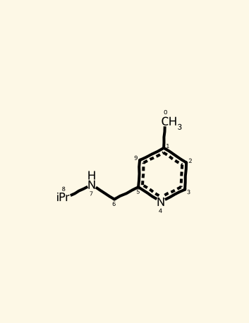 Cc1ccnc(CNC(C)C)c1